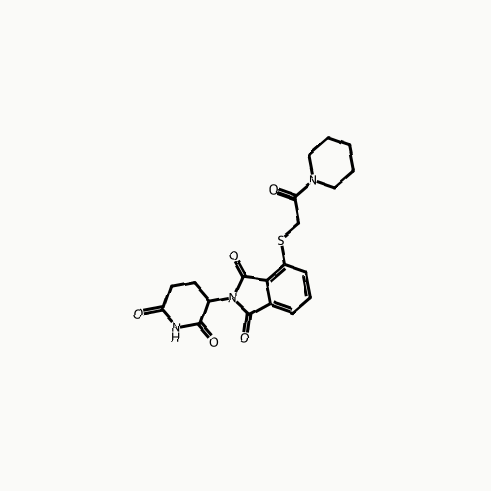 O=C1CCC(N2C(=O)c3cccc(SCC(=O)N4CCCCC4)c3C2=O)C(=O)N1